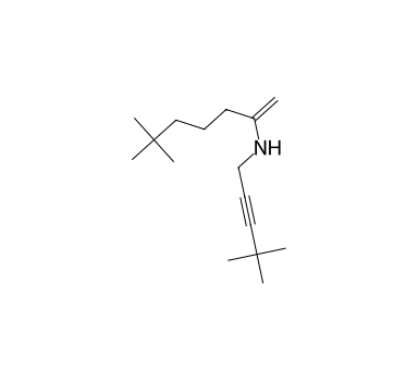 C=C(CCCC(C)(C)C)NCC#CC(C)(C)C